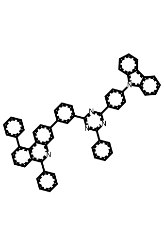 c1ccc(-c2nc(-c3ccc(-n4c5ccccc5c5ccccc54)cc3)nc(-c3cccc(-c4ccc5c(c4)nc(-c4ccccc4)c4cccc(-c6ccccc6)c45)c3)n2)cc1